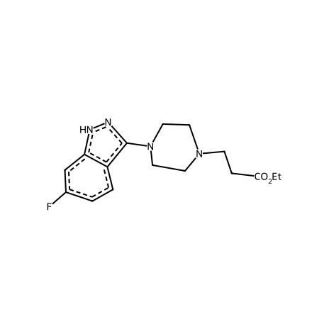 CCOC(=O)CCN1CCN(c2n[nH]c3cc(F)ccc23)CC1